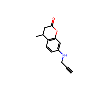 C#CCNc1ccc2c(c1)OC(=O)CC2C